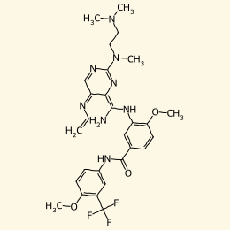 C=C/N=C1/C=NC(N(C)CCN(C)C)=N/C1=C(/N)Nc1cc(C(=O)Nc2ccc(OC)c(C(F)(F)F)c2)ccc1OC